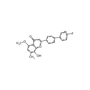 COc1cc(C)c(O)c2oc(-c3ccc(-c4ccc(F)nc4)cc3)cc(=O)c12